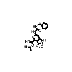 COc1n[nH]c2cc(NC(=O)N[C@H](C)c3ccccc3)nc(C(=N)OC(C)=N)c12